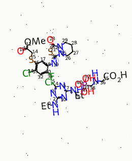 CCNc1nc(Cl)nc(NCC)n1.COC(=O)CSc1cc(/N=c2\sc(=O)n3n2CCCC3)c(F)cc1Cl.O=C(O)CNCP(=O)(O)O